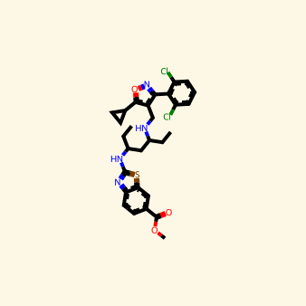 CCC(CC(CC)Nc1nc2ccc(C(=O)OC)cc2s1)NCc1c(-c2c(Cl)cccc2Cl)noc1C1CC1